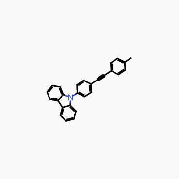 Cc1ccc(C#Cc2ccc(-n3c4ccccc4c4ccccc43)cc2)cc1